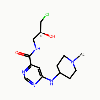 CC(=O)N1CCC(Nc2cc(C(=O)NC[C@H](O)CCl)ncn2)CC1